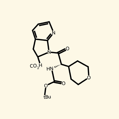 CC(C)(C)OC(=O)N[C@H](C(=O)N1c2ncccc2CC1C(=O)O)C1CCOCC1